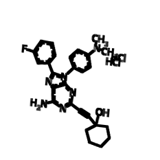 CN(C)c1ccc(-n2c(-c3cccc(F)c3)nc3c(N)nc(C#CC4(O)CCCCC4)nc32)cc1.Cl.Cl